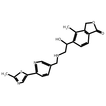 Cc1ncc(-c2ccc(CNCC(O)c3ccc4c(c3C)COC4=O)cn2)s1